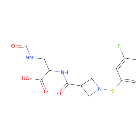 O=CNCC(NC(=O)C1CN(Sc2cccc(F)c2)C1)C(=O)O